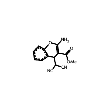 COC(=O)C1=C(N)Oc2ccccc2C1C(C#N)C#N